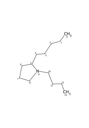 CCCCCC1CCCN1CCCC